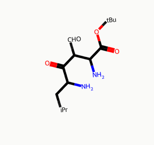 CC(C)CC(N)C(=O)C(C=O)C(N)C(=O)OC(C)(C)C